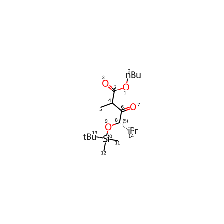 CCCCOC(=O)C(C)C(=O)[C@@H](O[Si](C)(C)C(C)(C)C)C(C)C